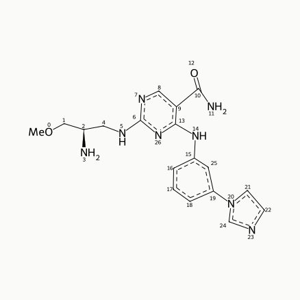 COC[C@H](N)CNc1ncc(C(N)=O)c(Nc2cccc(-n3ccnc3)c2)n1